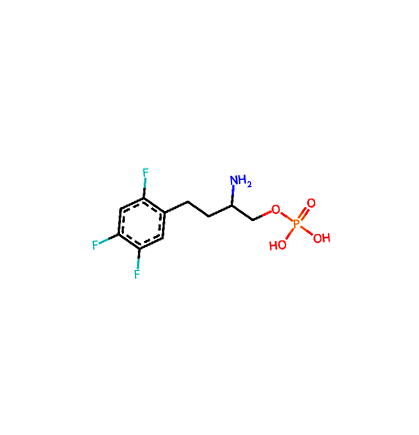 NC(CCc1cc(F)c(F)cc1F)COP(=O)(O)O